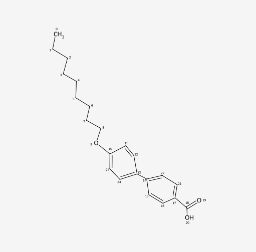 CCCCCCCCCOc1ccc(-c2ccc(C(=O)O)cc2)cc1